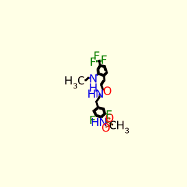 CCCNc1cc(C(F)(F)F)ccc1C=CC(=O)NCCc1cc(F)c(NS(C)(=O)=O)c(F)c1